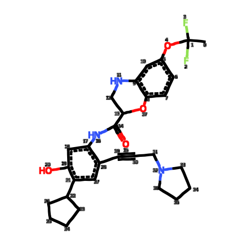 CC(F)(F)Oc1ccc2c(c1)NCC(C(=O)Nc1cc(O)c(C3CCCC3)cc1C#CCN1CCCC1)O2